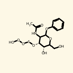 CC(=O)NC1C(Oc2ccccc2)OC(CO)[C@H](O)[C@@H]1OSOOO